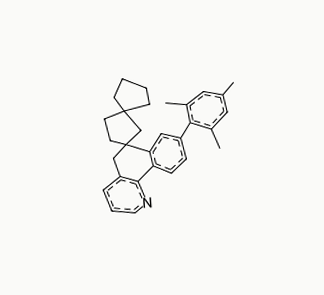 Cc1cc(C)c(-c2ccc3c(c2)C2(CCC4(CCCC4)C2)Cc2cccnc2-3)c(C)c1